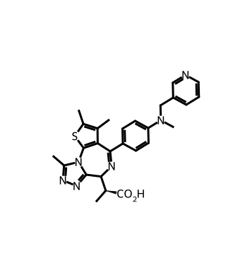 Cc1sc2c(c1C)C(c1ccc(N(C)Cc3cccnc3)cc1)=NC([C@H](C)C(=O)O)c1nnc(C)n1-2